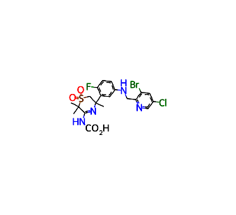 CC1(c2cc(NCc3ncc(Cl)cc3Br)ccc2F)CS(=O)(=O)C(C)(C)C(NC(=O)O)=N1